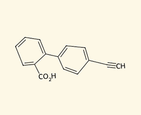 C#Cc1ccc(-c2ccccc2C(=O)O)cc1